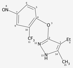 CCc1c(Oc2ccc(N=O)cc2C(F)(F)F)n[nH]c1C